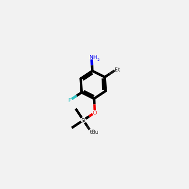 CCc1cc(O[Si](C)(C)C(C)(C)C)c(F)cc1N